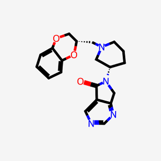 O=C1c2cncnc2CN1[C@H]1CCCN(C[C@H]2COc3ccccc3O2)C1